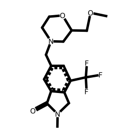 COCC1CN(Cc2cc3c(c(C(F)(F)F)c2)CN(C)C3=O)CCO1